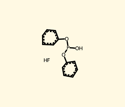 F.OP(Oc1ccccc1)Oc1ccccc1